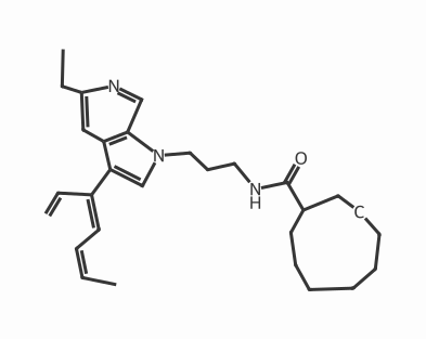 C=C/C(=C\C=C/C)c1cn(CCCNC(=O)C2CCCCCCCC2)c2cnc(CC)cc12